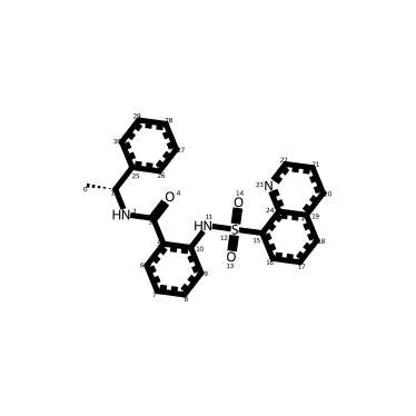 C[C@@H](NC(=O)c1ccccc1NS(=O)(=O)c1cccc2cccnc12)c1ccccc1